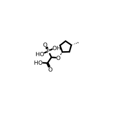 C[C@H]1CC[C@@H](OC(C(=O)O)P(=O)(O)O)C1